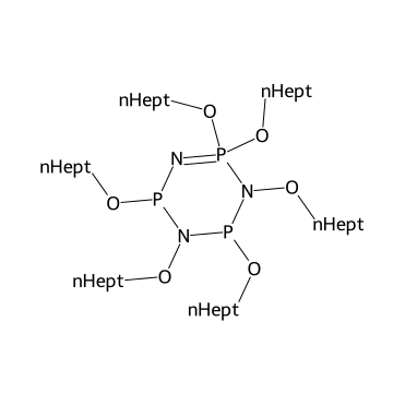 CCCCCCCON1P(OCCCCCCC)N=P(OCCCCCCC)(OCCCCCCC)N(OCCCCCCC)P1OCCCCCCC